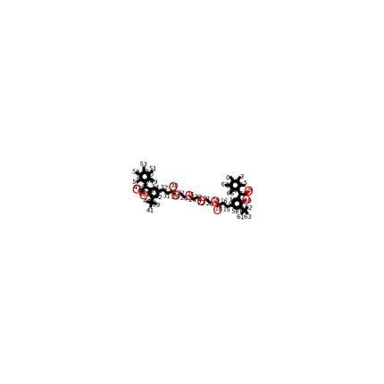 Cc1c(C)c(C)c(C2C(=O)Oc3c2cc(CCC(=O)OCCOCCOCCOC(=O)CCc2cc4c(c(C(C)(C)C)c2)OC(=O)C4c2c(C)c(C)c(C)c(C)c2C)cc3C(C)(C)C)c(C)c1C